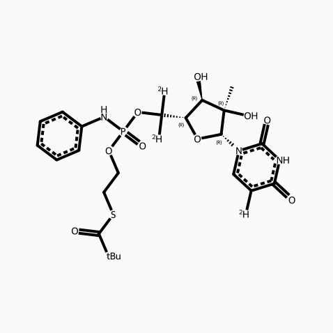 [2H]c1cn([C@@H]2O[C@H](C([2H])([2H])OP(=O)(Nc3ccccc3)OCCSC(=O)C(C)(C)C)[C@@H](O)[C@@]2(C)O)c(=O)[nH]c1=O